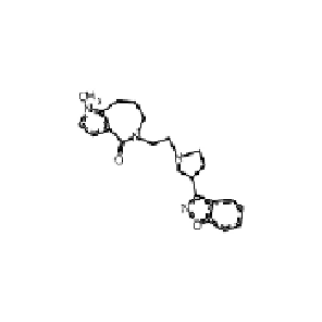 Cn1ccc2c1CCCN(CCN1CCC(c3noc4ccccc34)C1)C2=O